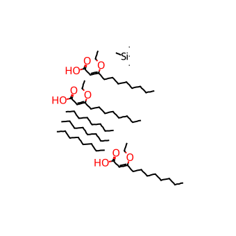 CCCCCCCC.CCCCCCCC.CCCCCCCC.CCCCCCCCC(=CC(=O)O)OCC.CCCCCCCCC(=CC(=O)O)OCC.CCCCCCCCC(=CC(=O)O)OCC.C[Si]